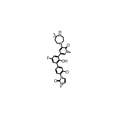 C[C@@H]1CCN(c2cc(-c3cc(F)cc(-c4ccc(-n5ccn(C)c5=O)c(Cl)c4)c3O)cn(C)c2=O)CCN1